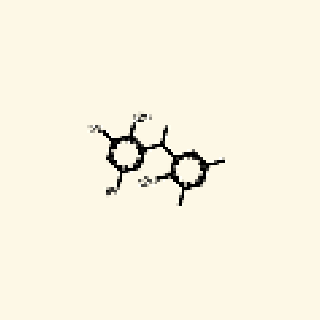 Cc1cc(C)c(C(C)(C)C)c(C(C)c2cc(C(C)C)cc(C(C)C)c2C(C)(C)C)c1